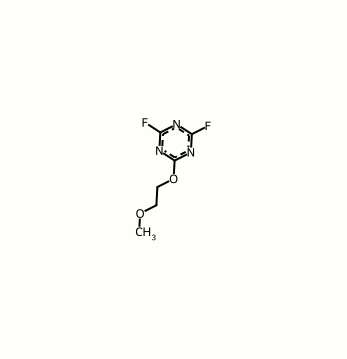 COCCOc1nc(F)nc(F)n1